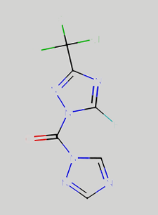 O=C(n1cncn1)n1nc(C(Cl)(Cl)Cl)nc1F